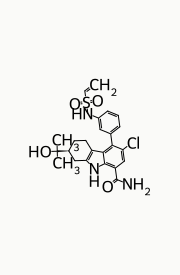 C=CS(=O)(=O)Nc1cccc(-c2c(Cl)cc(C(N)=O)c3[nH]c4c(c23)CC[C@H](C(C)(C)O)C4)c1